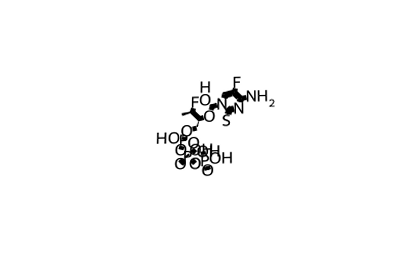 C[C@@H](F)[C@@H](COP(=O)(O)OP(=O)(O)OP(=O)(O)O)O[C@H](O)n1cc(F)c(N)nc1=S